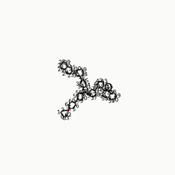 c1ccc(-c2ccc(-c3ccc(N(c4ccc(-c5cccc(-c6ccc7ccccc7c6)c5)cc4)c4cccc(-c5cccc6oc7c8ccccc8ccc7c56)c4)cc3)cc2)cc1